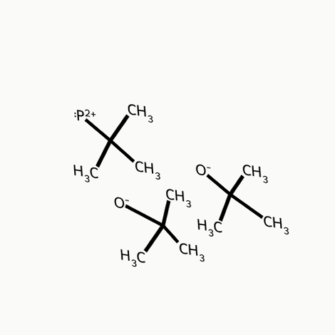 CC(C)(C)[O-].CC(C)(C)[O-].CC(C)(C)[P+2]